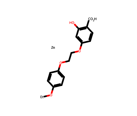 CCOc1ccc(OCCOc2ccc(C(=O)O)c(O)c2)cc1.[Zn]